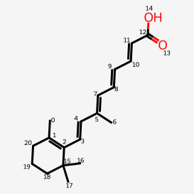 CC1=C(/C=C/C(C)=C/C=C/C=C/C(=O)O)C(C)(C)CCC1